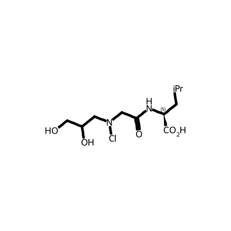 CC(C)C[C@H](NC(=O)CN(Cl)CC(O)CO)C(=O)O